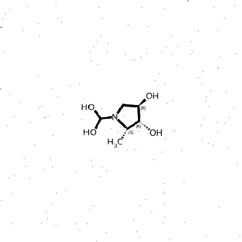 C[C@H]1[C@@H](O)[C@H](O)CN1C(O)O